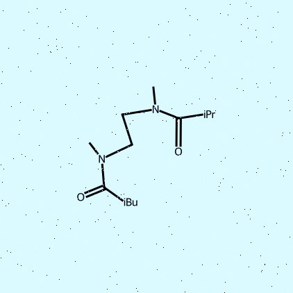 CCC(C)C(=O)N(C)CCN(C)C(=O)C(C)C